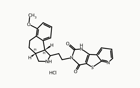 COc1cccc2c1CC[C@H]1CNC(CCn3c(=O)[nH]c4c(sc5ncccc54)c3=O)[C@@H]21.Cl